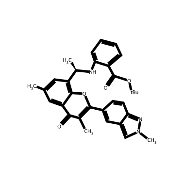 Cc1cc([C@@H](C)Nc2ccccc2C(=O)OC(C)(C)C)c2oc(-c3ccc4nn(C)cc4c3)c(C)c(=O)c2c1